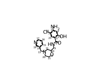 Nc1cc(O)c(C(=O)NCC2CN(Cc3cccnc3)CCO2)cc1Cl